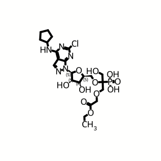 CCOC(=O)COCC(CO)(OC[C@@H]1O[C@H](n2ncc3c(NC4CCCC4)nc(Cl)nc32)[C@@H](O)[C@H]1O)P(=O)(O)O